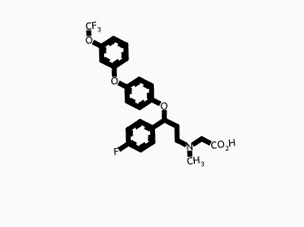 CN(CCC(Oc1ccc(Oc2cccc(OC(F)(F)F)c2)cc1)c1ccc(F)cc1)CC(=O)O